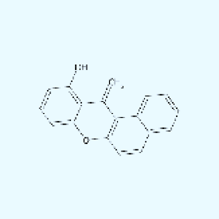 C=C1c2c(O)cccc2Oc2ccc3ccccc3c21